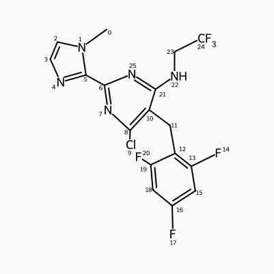 Cn1ccnc1-c1nc(Cl)c(Cc2c(F)cc(F)cc2F)c(NCC(F)(F)F)n1